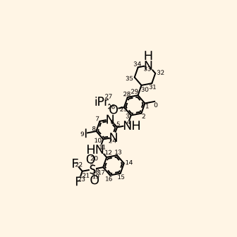 Cc1cc(Nc2ncc(I)c(Nc3ccccc3S(=O)(=O)C(F)F)n2)c(OC(C)C)cc1C1CCNCC1